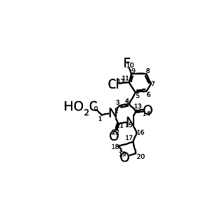 O=C(O)Cn1cc(-c2cccc(F)c2Cl)c(=O)n(CC2COC2)c1=O